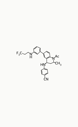 CC(=O)N1c2ccc(-c3cccc(NCCC(F)(F)F)c3)cc2[C@H](Nc2ccc(C#N)cc2)C[C@@H]1C